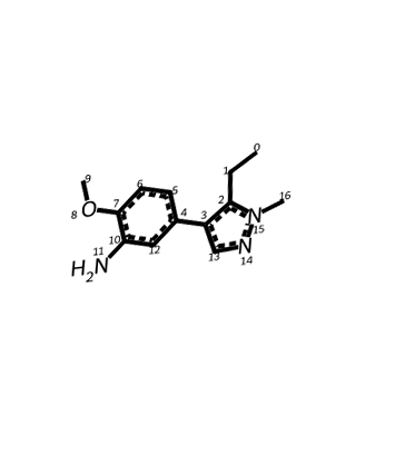 CCc1c(-c2ccc(OC)c(N)c2)cnn1C